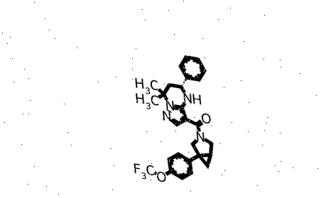 CC1(C)C[C@H](c2ccccc2)Nc2c(C(=O)N3CC4CC4(c4ccc(OC(F)(F)F)cc4)C3)cnn21